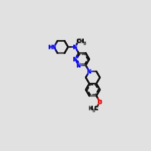 COc1ccc2c(c1)CCN(c1ccc(N(C)C3CCNCC3)nn1)C2